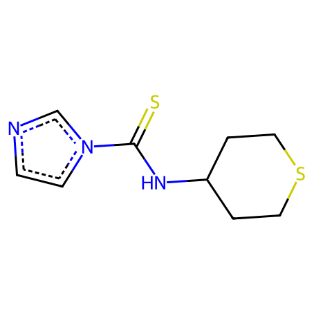 S=C(NC1CCSCC1)n1ccnc1